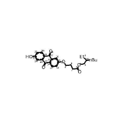 CCCCC(CC)COC(=O)CCCOc1ccc2c(c1)C(=O)c1ccc(O)cc1C2=O